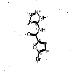 O=C(Nc1nnn[nH]1)c1ccc(Br)o1